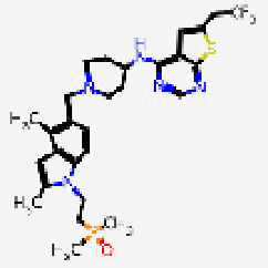 Cc1c(CN2CCC(Nc3ncnc4sc(CC(F)(F)F)cc34)CC2)ccc2c1cc(C)n2CCP(C)(C)=O